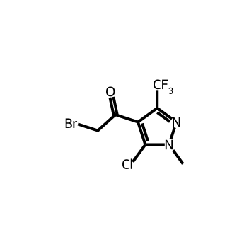 Cn1nc(C(F)(F)F)c(C(=O)CBr)c1Cl